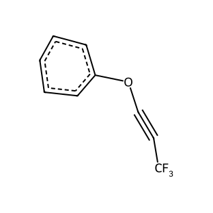 FC(F)(F)C#COc1ccccc1